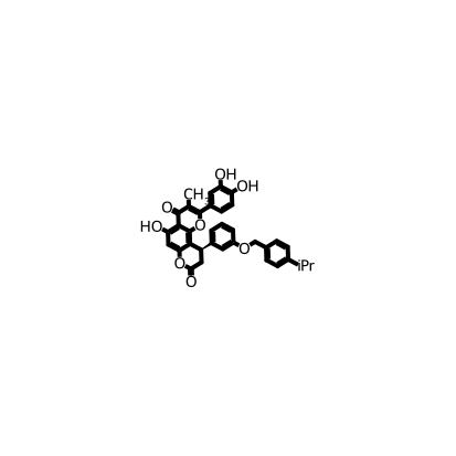 Cc1c(-c2ccc(O)c(O)c2)oc2c3c(cc(O)c2c1=O)OC(=O)C[C@@H]3c1cccc(OCc2ccc(C(C)C)cc2)c1